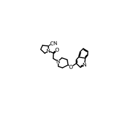 N#C[C@@H]1CCCN1C(=O)CN1CCC(Oc2cnc3ccccc3c2)CC1